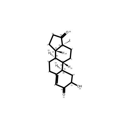 C[C@]12CC[C@H]3[C@@H](CCC4=CC(=O)C(O)C[C@@H]43)[C@@H]1CCC2=O